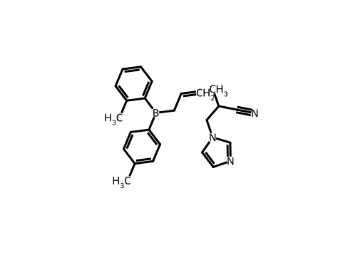 C=CCB(c1ccc(C)cc1)c1ccccc1C.CC(C#N)Cn1ccnc1